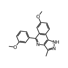 COc1cccc(-c2nc3c(C)n[nH]c3c3ccc(OC)cc23)c1